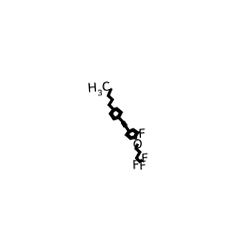 CCCCCc1ccc(C#Cc2ccc(OCCCC(F)(F)F)c(F)c2)cc1